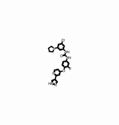 O=C(Nc1cc(Cl)cc(N2CCCC2)c1)Nc1ccc(Oc2ccnc(-c3cn[nH]c3)c2)c(F)c1